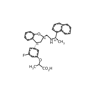 CC(Oc1cc(F)cc([C@H]2C[C@H](CN[C@H](C)c3cccc4ccccc34)Oc3ccccc32)c1)C(=O)O